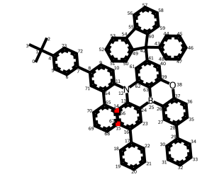 CC(C)(C)c1ccc(-c2ccc(N3c4ccc(-c5ccccc5)cc4B4c5cc(-c6ccccc6)ccc5Oc5cc(C6(c7ccccc7)c7ccccc7-c7ccccc76)cc3c54)c(-c3ccccc3)c2)cc1